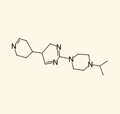 CC(C)N1CCN(C2=NCC(C3CC=NCC3)C=N2)CC1